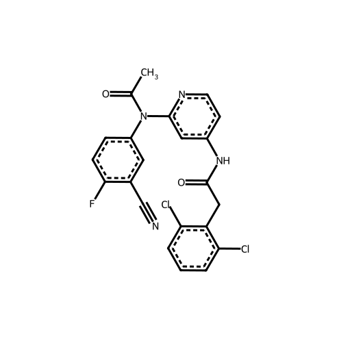 CC(=O)N(c1ccc(F)c(C#N)c1)c1cc(NC(=O)Cc2c(Cl)cccc2Cl)ccn1